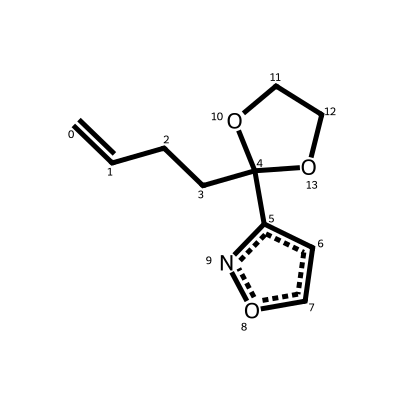 C=CCCC1(c2ccon2)OCCO1